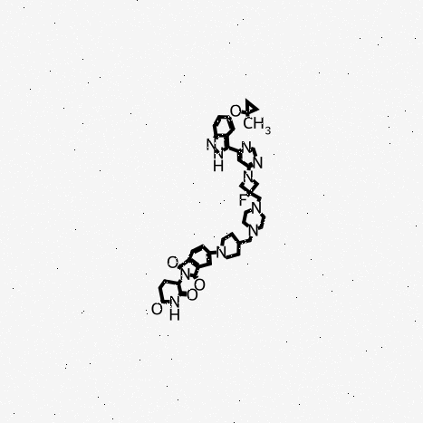 CC1(Oc2ccc3n[nH]c(-c4cc(N5CC(F)(CN6CCN(CC7CCN(c8ccc9c(c8)C(=O)N(C8CCC(=O)NC8=O)C9=O)CC7)CC6)C5)ncn4)c3c2)CC1